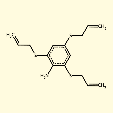 C=CCSc1cc(SCC=C)c(N)c(SCC=C)c1